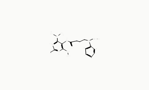 CCCCCCN(CCCC(=O)Nc1c(SCC)nc(C)nc1N(CC)CC)c1ccccc1